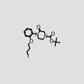 CC(C)(C)OC(=O)N1CCN(c2ccccc2OCCCI)C(=O)C1